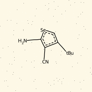 CC(C)(C)c1c[se]c(N)c1C#N